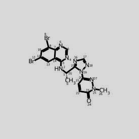 C[C@H](Nc1ncnc2c(Br)cc(Br)cc12)c1ncnn1-c1ccc(=O)n(C)n1